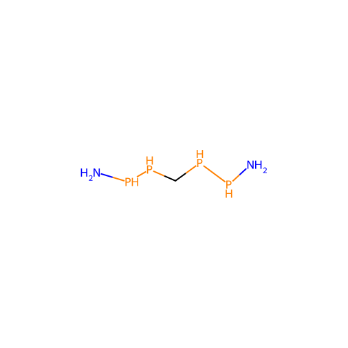 NPPCPPN